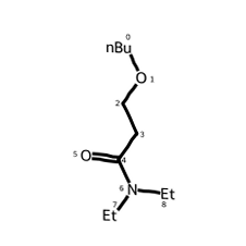 CCCCOCCC(=O)N(CC)CC